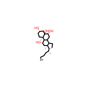 CC(C)CCC[C@@H](C)[C@H]1CCC2C3C[C@@H](O)[C@@]4(O)C[C@@H](O)CC[C@]4(C)C3[C@@H](O)C[C@@]21C